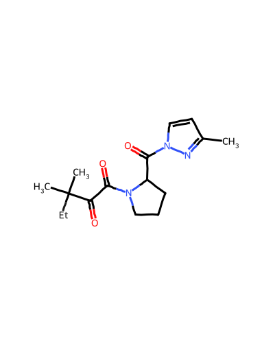 CCC(C)(C)C(=O)C(=O)N1CCCC1C(=O)n1ccc(C)n1